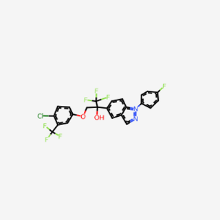 OC(COc1ccc(Cl)c(C(F)(F)F)c1)(c1ccc2c(cnn2-c2ccc(F)cc2)c1)C(F)(F)F